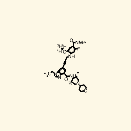 [2H]C([2H])([2H])Oc1cc(C(=O)NC)c(F)cc1NCC#Cc1cc(C(=O)N[C@@H]2[C@@H](C)CN(C3CCOCC3)C[C@@H]2F)c2ncn(CC(F)(F)F)c2c1